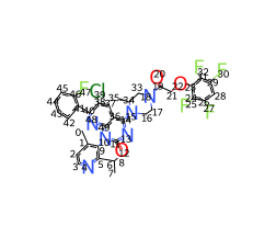 Cc1ccnc(C(C)C)c1-n1c(=O)nc(N2CCN(C(=O)COc3c(F)c(F)cc(F)c3F)C[C@@H]2C)c2cc(Cl)c(-c3ccccc3F)nc21